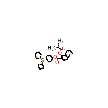 C=C(C)C(=O)Oc1c(C(=O)Oc2ccc([S+](c3ccccc3)c3ccccc3)cc2)ccc2ccccc12